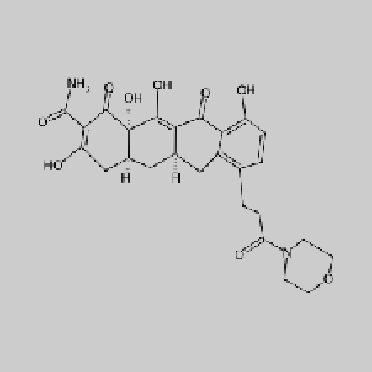 NC(=O)C1=C(O)C[C@@H]2C[C@@H]3Cc4c(CCC(=O)N5CCOCC5)ccc(O)c4C(=O)C3=C(O)[C@]2(O)C1=O